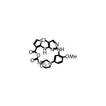 COc1ccc(N2CCOCC2)cc1Nc1ncc(Cl)c(Nc2sccc2C(=O)OC(N)=O)n1